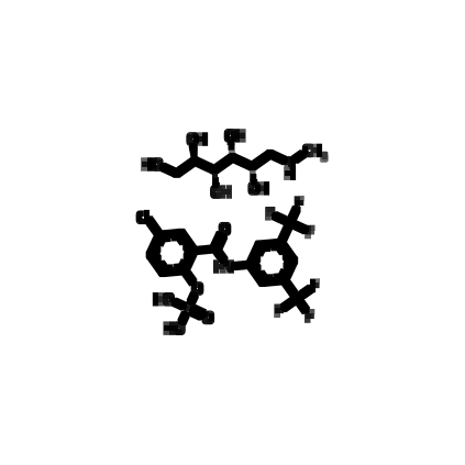 CNC[C@H](O)[C@@H](O)[C@H](O)[C@H](O)CO.O=C(Nc1cc(C(F)(F)F)cc(C(F)(F)F)c1)c1cc(Cl)ccc1OP(=O)(O)O